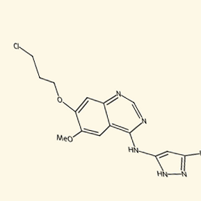 CCc1cc(Nc2ncnc3cc(OCCCCl)c(OC)cc23)[nH]n1